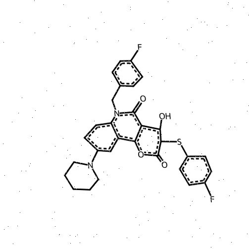 O=c1oc2c(c(O)c1Sc1ccc(F)cc1)c(=O)n(Cc1ccc(F)cc1)c1ccc(N3CCCCC3)cc21